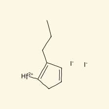 CCCC1=[C]([Hf+2])CC=C1.[I-].[I-]